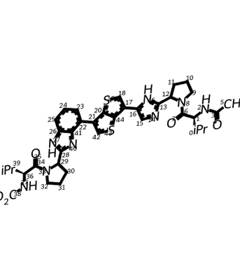 CC(C)[C@H](NC(=O)C=O)C(=O)N1CCCC1c1ncc(-c2csc3c(-c4cccc5[nH]c(C6CCCN6C(=O)[C@@H](NC(=O)O)C(C)C)nc45)csc23)[nH]1